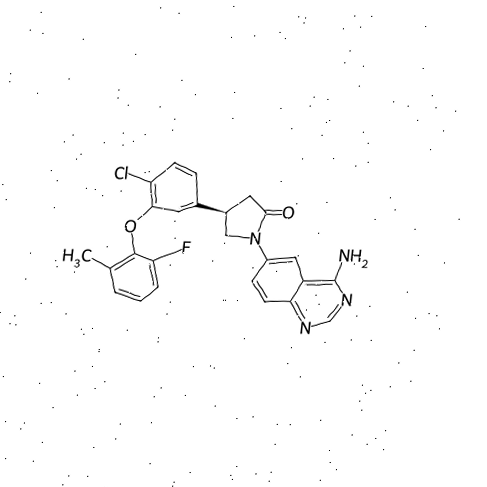 Cc1cccc(F)c1Oc1cc([C@H]2CC(=O)N(c3ccc4ncnc(N)c4c3)C2)ccc1Cl